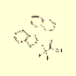 O=C(O)C(F)(F)F.c1ccc2c(-c3cccc4ccccc34)cccc2c1